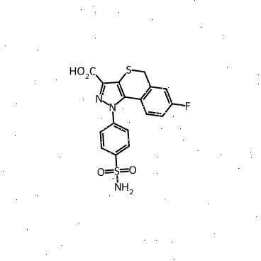 NS(=O)(=O)c1ccc(-n2nc(C(=O)O)c3c2-c2ccc(F)cc2CS3)cc1